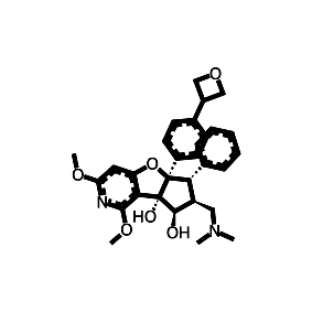 COc1cc2c(c(OC)n1)[C@]1(O)[C@H](O)[C@H](CN(C)C)[C@@H](c3ccccc3)[C@]1(c1ccc(C3COC3)cc1)O2